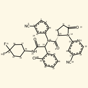 N#Cc1cccc(N(C(=O)[C@@H]2CCC(=O)N2c2cc(C#N)ccn2)C(C(=O)NC2CCC(F)(F)CC2)c2ccccc2Cl)c1